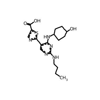 CCCCNc1ncc(-c2ncc(C(=O)O)s2)c(NC2CCC(O)CC2)n1